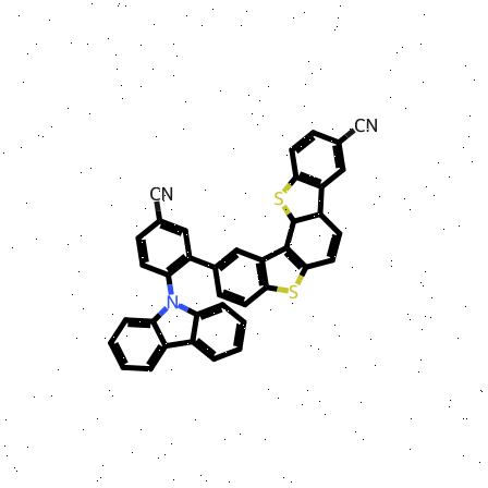 N#Cc1ccc(-n2c3ccccc3c3ccccc32)c(-c2ccc3sc4c(c3c2)C2Sc3ccc(C#N)cc3C2C=C4)c1